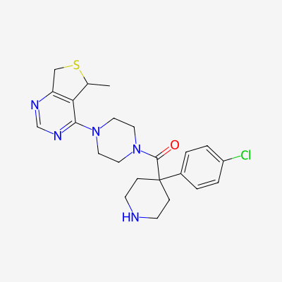 CC1SCc2ncnc(N3CCN(C(=O)C4(c5ccc(Cl)cc5)CCNCC4)CC3)c21